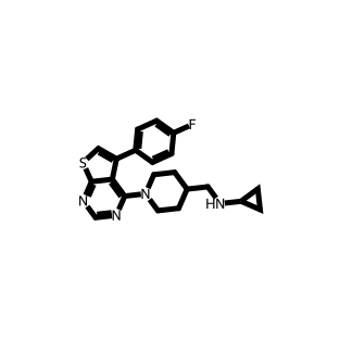 Fc1ccc(-c2csc3ncnc(N4CCC(CNC5CC5)CC4)c23)cc1